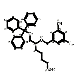 CCCCCCCCCCCCCC[C@@H](COC(c1ccccc1)(c1ccccc1)c1ccccc1)OCc1cc(F)cc(C#N)c1